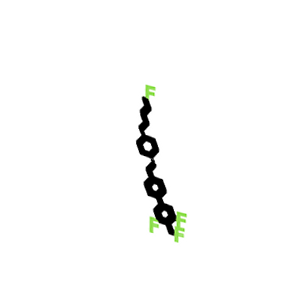 FC/C=C/CC[C@H]1CC[C@H](CCc2ccc(-c3cc(F)c(CF)c(F)c3)cc2)CC1